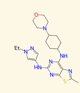 CCn1cc(Nc2nc(NC3CCC(N4CCOCC4)CC3)c3nc(C)sc3n2)cn1